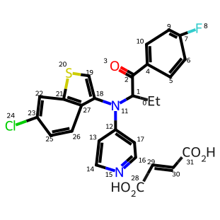 CCC(C(=O)c1ccc(F)cc1)N(c1ccncc1)c1csc2cc(Cl)ccc12.O=C(O)C=CC(=O)O